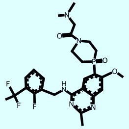 COc1cc2nc(C)nc(NCc3cccc(C(C)(F)F)c3F)c2cc1P1(=O)CCN(C(=O)CN(C)C)CC1